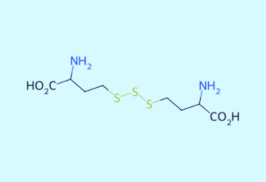 NC(CCSSSCCC(N)C(=O)O)C(=O)O